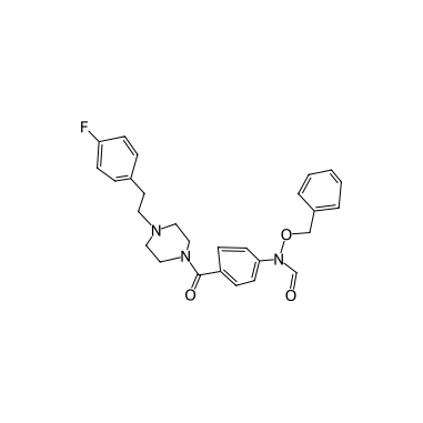 O=CN(OCc1ccccc1)c1ccc(C(=O)N2CCN(CCc3ccc(F)cc3)CC2)cc1